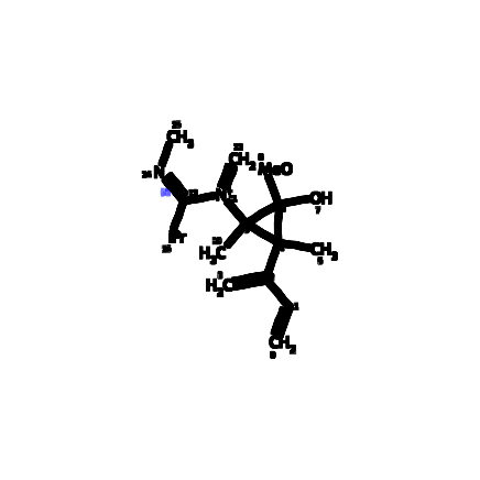 C=CC(=C)C1(C)C(O)(OC)C1(C)[N+](=C)/C(=N\C)C(C)C